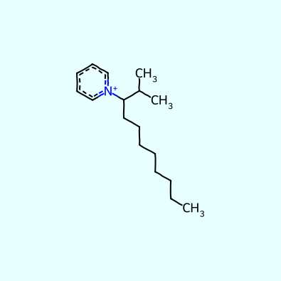 CCCCCCCCC(C(C)C)[n+]1ccccc1